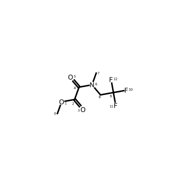 COC(=O)C(=O)N(C)CC(F)(F)F